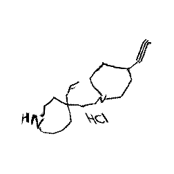 C#CC1CCN(CC2(F)CCNCC2)CC1.Cl